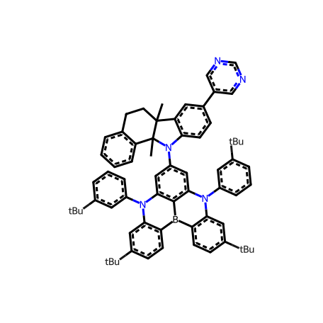 CC(C)(C)c1cccc(N2c3cc(C(C)(C)C)ccc3B3c4ccc(C(C)(C)C)cc4N(c4cccc(C(C)(C)C)c4)c4cc(N5c6ccc(-c7cncnc7)cc6C6(C)CCc7ccccc7C56C)cc2c43)c1